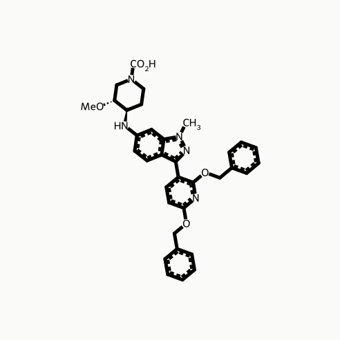 CO[C@@H]1CN(C(=O)O)CC[C@H]1Nc1ccc2c(-c3ccc(OCc4ccccc4)nc3OCc3ccccc3)nn(C)c2c1